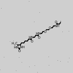 CC1NC(=O)NC1CCCCCC(=O)NCCC(=O)NCCOCCOCCNC(=O)CI